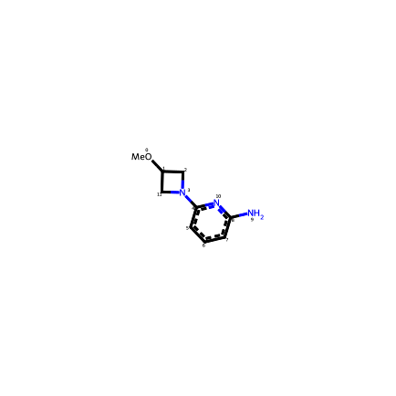 COC1CN(c2cccc(N)n2)C1